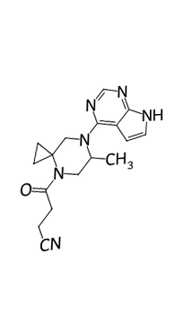 CC1CN(C(=O)CCC#N)C2(CC2)CN1c1ncnc2[nH]ccc12